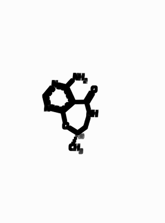 C[C@H]1CNC(=O)c2c(N)ncnc2O1